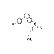 CCCCCCN(C)Oc1ccc2c(c1)OCC=C2c1ccc(Br)cc1